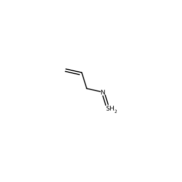 C=CCN=[SH2]